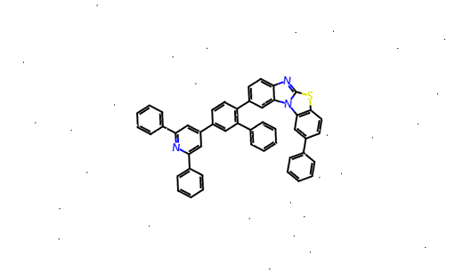 c1ccc(-c2ccc3sc4nc5ccc(-c6ccc(-c7cc(-c8ccccc8)nc(-c8ccccc8)c7)cc6-c6ccccc6)cc5n4c3c2)cc1